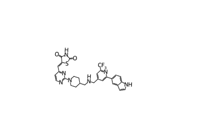 O=C1NC(=O)C(=Cc2ccnc(N3CCC(CNCc4cc(-c5ccc6[nH]ccc6c5)nc(C(F)(F)F)c4)CC3)n2)S1